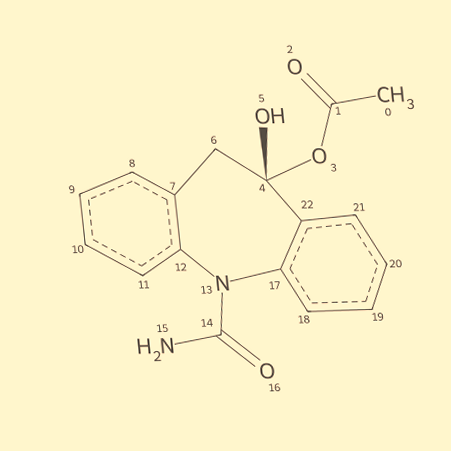 CC(=O)O[C@@]1(O)Cc2ccccc2N(C(N)=O)c2ccccc21